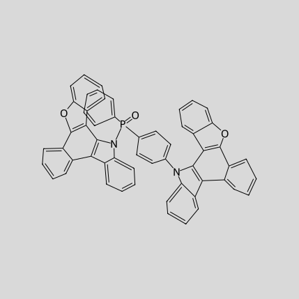 O=P(c1ccccc1)(c1ccc(-n2c3ccccc3c3c4ccccc4c4oc5ccccc5c4c32)cc1)n1c2ccccc2c2c3ccccc3c3oc4ccccc4c3c21